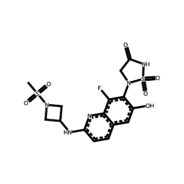 CS(=O)(=O)N1CC(Nc2ccc3cc(O)c(N4CC(=O)NS4(=O)=O)c(F)c3n2)C1